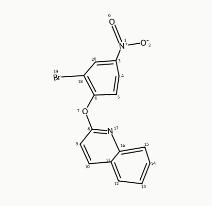 O=[N+]([O-])c1ccc(Oc2ccc3ccccc3n2)c(Br)c1